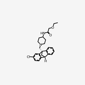 CCOCC(=O)NC1CCN(C[C@@]23C[C@H](c4ccccc42)c2ccc(Cl)cc23)CC1